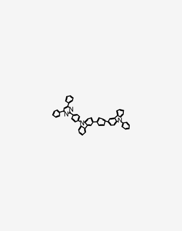 c1ccc(-c2cc(-c3ccccc3)nc(-c3ccc(-n4c5ccccc5c5cc(-c6ccc(-c7ccc8c(c7)c7ccccc7n8-c7ccccc7)cc6)ccc54)cc3)n2)cc1